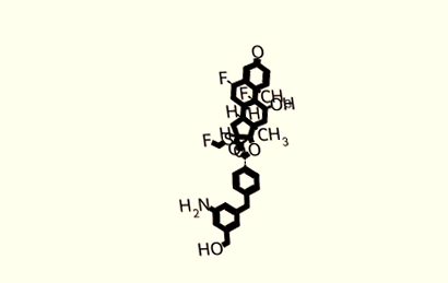 C[C@]12C=CC(=O)C=C1[C@@H](F)C[C@H]1[C@@H]3C[C@H]4O[C@@H](c5ccc(Cc6cc(N)cc(CO)c6)cc5)O[C@@]4(C(=O)SCF)[C@@]3(C)C[C@H](O)[C@@]12F